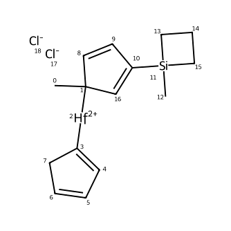 C[C]1([Hf+2][C]2=CC=CC2)C=CC([Si]2(C)CCC2)=C1.[Cl-].[Cl-]